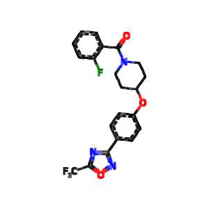 O=C(c1ccccc1F)N1CCC(Oc2ccc(-c3noc(C(F)(F)F)n3)cc2)CC1